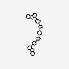 c1ccc2c(c1)sc1c(-c3ccc(-c4ccc(N5CCN(c6ccc(-c7ccc(-c8cccc9c8sc8ccccc89)cn7)s6)CC5)s4)nc3)cccc12